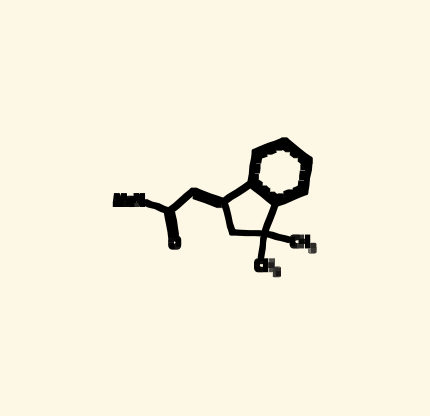 CNC(=O)C=C1CC(C)(C)c2ccccc21